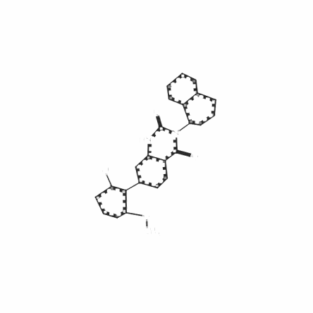 COc1cccc(Cl)c1-c1ccc2c(=O)n(-c3cccc4ccccc34)c(=O)[nH]c2c1